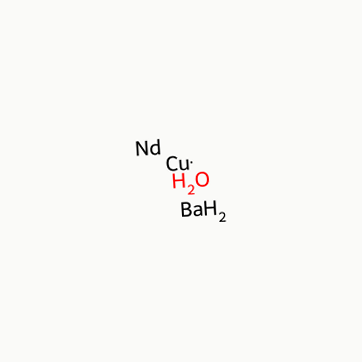 O.[BaH2].[Cu].[Nd]